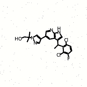 CC(c1c(Cl)ccc(F)c1Cl)c1c[nH]c2ncc(-c3cnn(C(C)(C)CO)c3)cc12